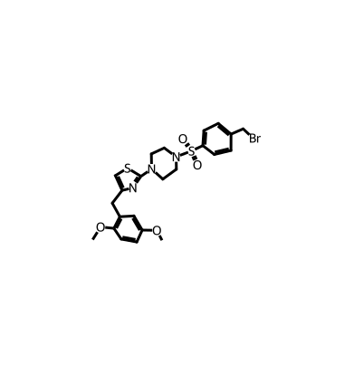 COc1ccc(OC)c(Cc2csc(N3CCN(S(=O)(=O)c4ccc(CBr)cc4)CC3)n2)c1